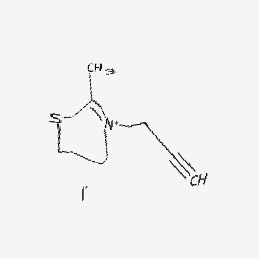 C#CC[N+]1=C(C)SCC1.[I-]